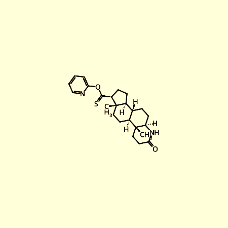 C[C@]12CCC(=O)N[C@@H]1CC[C@@H]1[C@@H]2CC[C@]2(C)[C@@H](C(=S)Oc3ccccn3)CC[C@@H]12